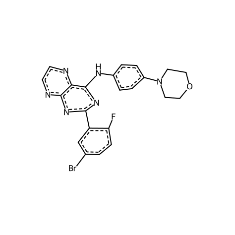 Fc1ccc(Br)cc1-c1nc(Nc2ccc(N3CCOCC3)cc2)c2nccnc2n1